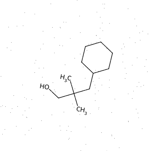 CC(C)(CO)CC1CCCCC1